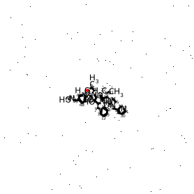 CC(C)CN(C[C@@H](O)[C@H](Cc1ccccc1)NC(=O)[C@H](C(C)C)N1CCN(Cc2cccnc2)C1=O)S(=O)(=O)c1ccc(/C=N/O)cc1